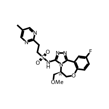 COC[C@@H]1COc2ccc(F)cc2-c2nnc(NS(=O)(=O)CCc3ncc(C)cn3)n21